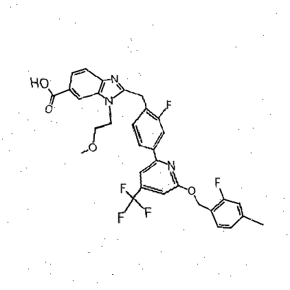 COCCn1c(Cc2ccc(-c3cc(C(F)(F)F)cc(OCc4ccc(C)cc4F)n3)cc2F)nc2ccc(C(=O)O)cc21